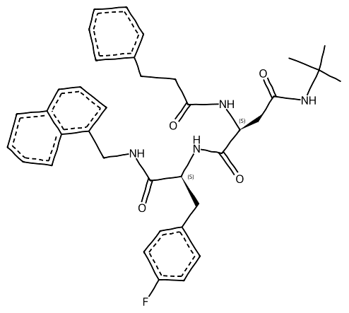 CC(C)(C)NC(=O)C[C@H](NC(=O)CCc1ccccc1)C(=O)N[C@@H](Cc1ccc(F)cc1)C(=O)NCc1cccc2ccccc12